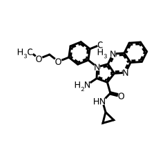 COCOc1ccc(C)c(-n2c(N)c(C(=O)NC3CC3)c3nc4ccccc4nc32)c1